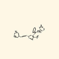 O=C(Nc1cccnc1)c1cc(C#Cc2cncnc2)ccc1F